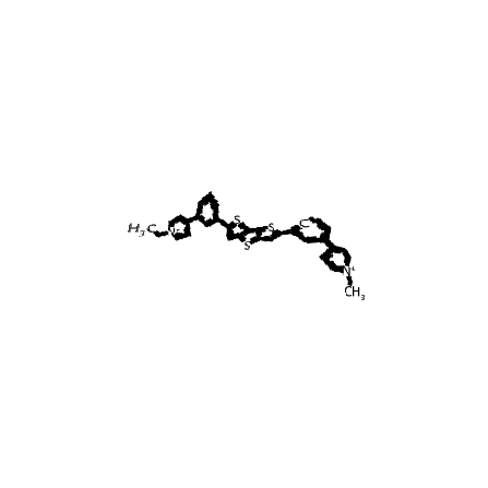 CC[n+]1ccc(-c2cccc(-c3cc4sc5cc(-c6cccc(-c7cc[n+](CC)cc7)c6)sc5c4s3)c2)cc1